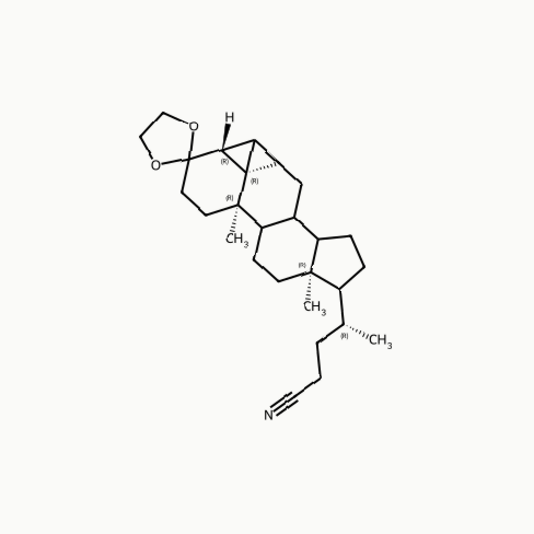 C[C@H](CCC#N)C1CCC2C3CC4C5[C@H]6C7(CC[C@](C)(C3CC[C@@]21C)[C@]456)OCCO7